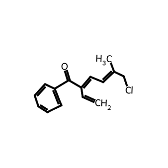 C=C/C(=C\C=C(/C)CCl)C(=O)c1ccccc1